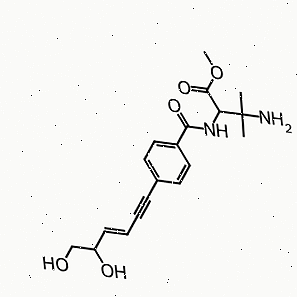 COC(=O)C(NC(=O)c1ccc(C#CC=CC(O)CO)cc1)C(C)(C)N